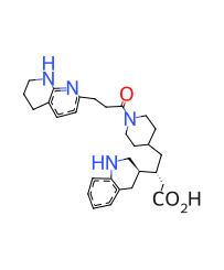 O=C(O)C[C@@H](CC1CCN(C(=O)CCc2ccc3c(n2)NCCC3)CC1)[C@@H]1CNc2ccccc2C1